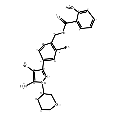 COc1ccccc1C(=O)NCc1ccc(-c2nn(C3CCCOC3)c(N)c2C#N)cc1F